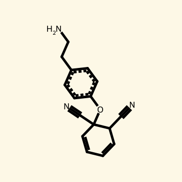 N#CC1C=CC=CC1(C#N)Oc1ccc(CCN)cc1